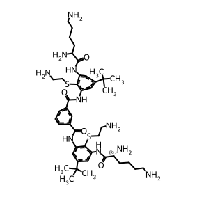 CC(C)(C)c1cc(NC(=O)c2cccc(C(=O)Nc3cc(C(C)(C)C)cc(NC(=O)[C@H](N)CCCCN)c3SCCN)c2)c(SCCN)c(NC(=O)C(N)CCCCN)c1